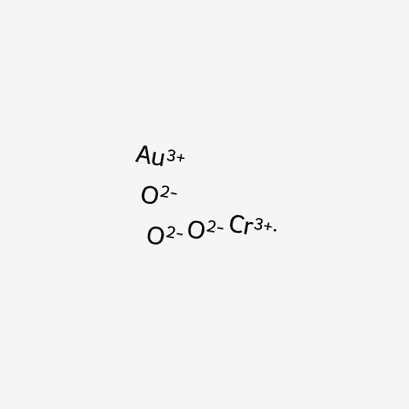 [Au+3].[Cr+3].[O-2].[O-2].[O-2]